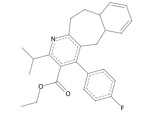 CCOC(=O)c1c(C(C)C)nc2c(c1-c1ccc(F)cc1)CC1C=CC=CC1CC2